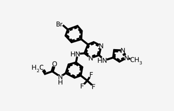 C=CC(=O)Nc1cc(Nc2nc(Nc3cnn(C)c3)ncc2-c2ccc(Br)cc2)cc(C(F)(F)F)c1